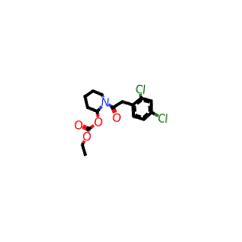 CCOC(=O)OC1CCCCN1C(=O)Cc1ccc(Cl)cc1Cl